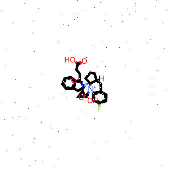 O=C(O)CCC(=O)N(C1CC1)[C@@]12CCC[C@@H]1Cc1ccc(F)cc1[N@@+]2(C(=O)O)C1Cc2ccccc2C1